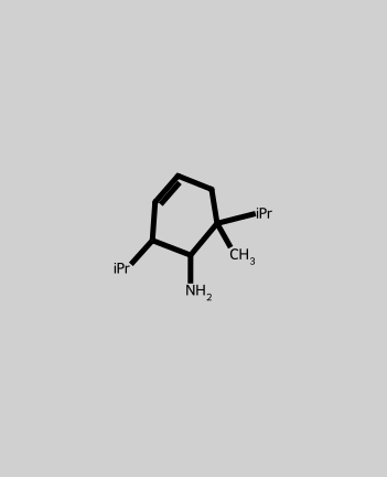 CC(C)C1C=CCC(C)(C(C)C)C1N